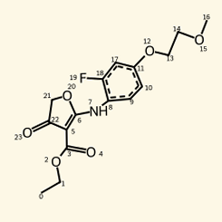 CCOC(=O)C1=C(Nc2ccc(OCCOC)cc2F)OCC1=O